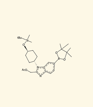 CC(=O)OCc1nc2ccc(B3OC(C)(C)C(C)(C)O3)cc2n1[C@H]1CC[C@H](O[Si](C)(C)C(C)(C)C)CC1